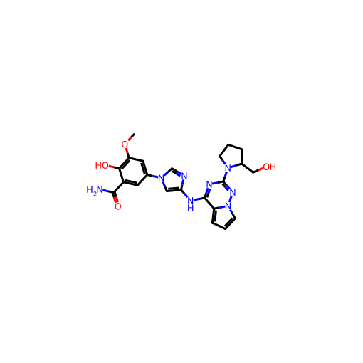 COc1cc(-n2cnc(Nc3nc(N4CCCC4CO)nn4cccc34)c2)cc(C(N)=O)c1O